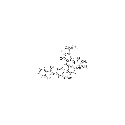 COc1cc(OC(=O)c2ccccc2F)ccc1-c1ccc2c(c1COC(=O)C1CC=C(C)S1)N(C)C(=O)C(C)(C)N2